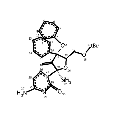 C=C1[C@@](Oc2ccccc2)(c2ccccc2)[C@@H](COC(C)(C)C)O[C@@]1([SiH3])n1ccc(N)nc1=O